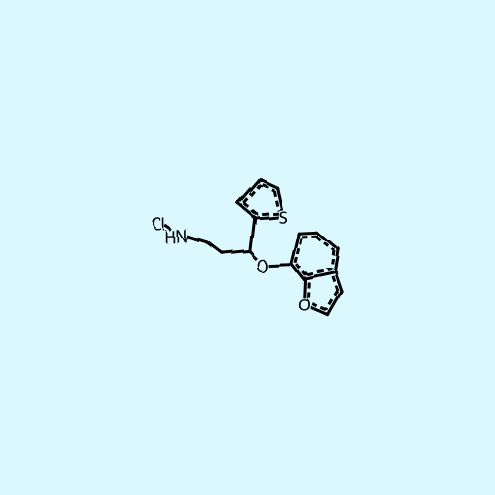 ClNCCC(Oc1cccc2ccoc12)c1cccs1